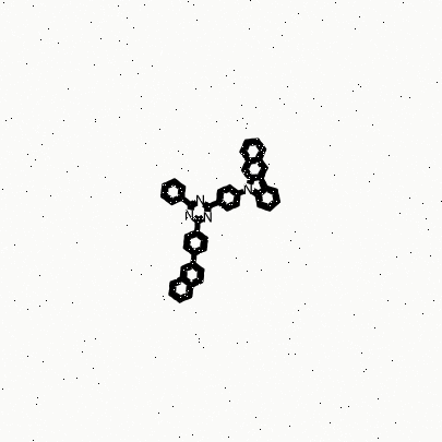 c1ccc(-c2nc(-c3ccc(-c4ccc5ccccc5c4)cc3)nc(-c3ccc(-n4c5ccccc5c5cc6ccccc6cc54)cc3)n2)cc1